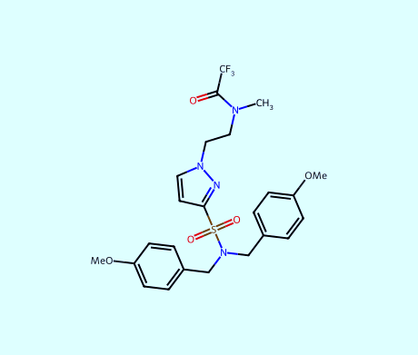 COc1ccc(CN(Cc2ccc(OC)cc2)S(=O)(=O)c2ccn(CCN(C)C(=O)C(F)(F)F)n2)cc1